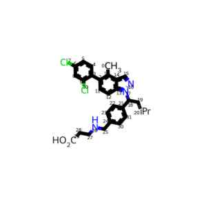 Cc1c(-c2ccc(Cl)cc2Cl)ccc2c1cnn2C(CC(C)C)c1ccc(CNCCC(=O)O)cc1